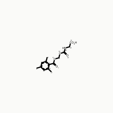 Cc1cc(C)c(C(=O)OCOC(=O)NCC(=O)O)c(C)c1